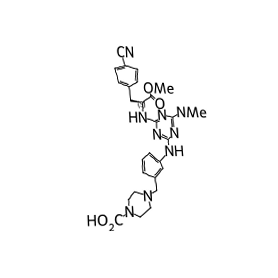 CNc1nc(Nc2cccc(CN3CCN(C(=O)O)CC3)c2)nc(N[C@@H](Cc2ccc(C#N)cc2)C(=O)OC)n1